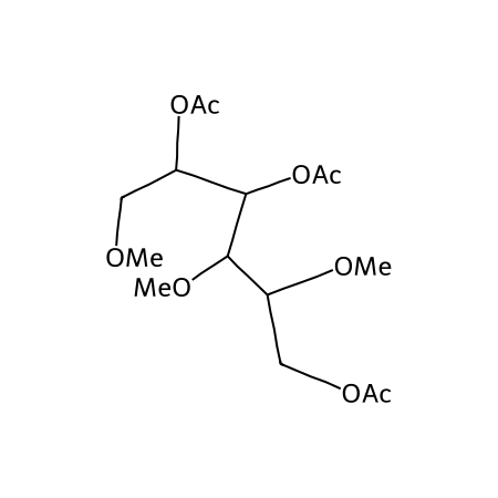 COCC(OC(C)=O)C(OC(C)=O)C(OC)C(COC(C)=O)OC